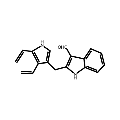 C=Cc1[nH]cc(Cc2[nH]c3ccccc3c2C=O)c1C=C